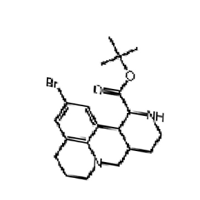 CC(C)(C)OC(=O)C1NCCC2CN3CCCc4cc(Br)cc(c43)C21